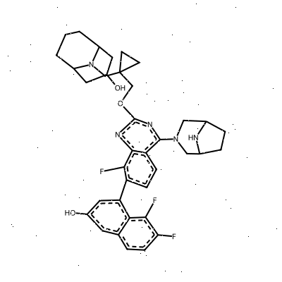 Oc1cc(-c2ccc3c(N4CC5CCC(C4)N5)nc(OCC4(CN5C6CCCC5CC(O)C6)CC4)nc3c2F)c2c(F)c(F)ccc2c1